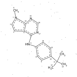 Cn1ccc2c(Nc3ccc(C(C)(C)C)cc3)ncnc21